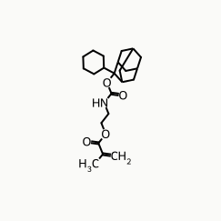 C=C(C)C(=O)OCCNC(=O)OC1(C2CCCCC2)C2CC3CC(C2)CC1C3